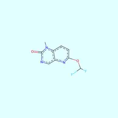 Cn1c(=O)ncc2nc(OC(F)F)ccc21